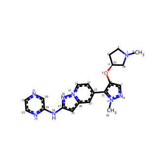 CN1CC[C@H](Oc2cnn(C)c2-c2ccn3nc(Nc4cnccn4)cc3c2)C1